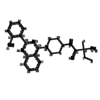 CCC(C)(P)C(=O)NC1CCN(c2nc(-c3ccccc3O)nc3ccccc23)CC1